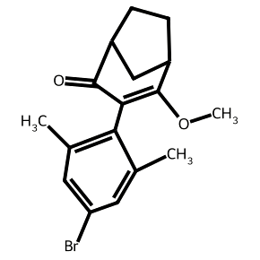 COC1=C(c2c(C)cc(Br)cc2C)C(=O)C2CCC1C2